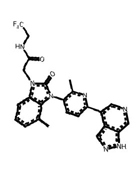 Cc1nc(-c2cncc3[nH]ncc23)ccc1-n1c(=O)n(CC(=O)NCC(F)(F)F)c2cccc(C)c21